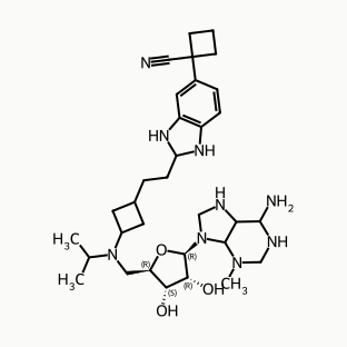 CC(C)N(C[C@H]1O[C@@H](N2CNC3C(N)NCN(C)C32)[C@H](O)[C@@H]1O)C1CC(CCC2Nc3ccc(C4(C#N)CCC4)cc3N2)C1